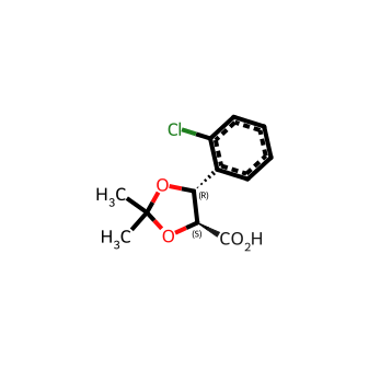 CC1(C)O[C@H](C(=O)O)[C@@H](c2ccccc2Cl)O1